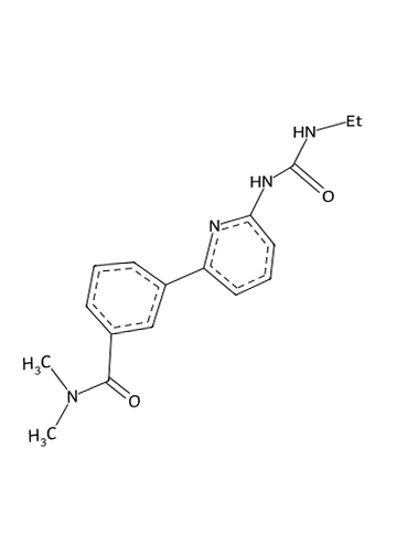 CCNC(=O)Nc1cccc(-c2cccc(C(=O)N(C)C)c2)n1